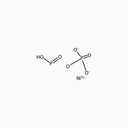 O=P([O-])([O-])[O-].O=PO.[Ni+3]